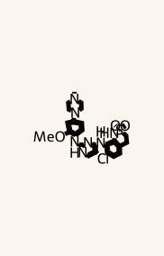 COc1cc(N2CCN(C)CC2)ccc1Nc1ncc(Cl)c(Nc2cccc3c2NS(=O)(=O)CC3)n1